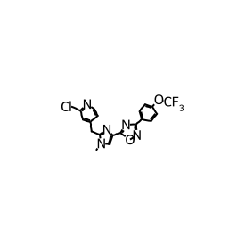 Cn1cc(-c2nc(-c3ccc(OC(F)(F)F)cc3)no2)nc1Cc1ccnc(Cl)c1